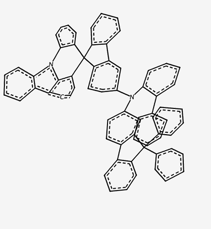 c1ccc(-c2ccccc2N(c2ccc3c(c2)-c2ccccc2C32c3ccccc3-n3c4ccccc4c4cccc2c43)c2ccc3c(c2)C(c2ccccc2)(c2ccccc2)c2ccccc2-3)cc1